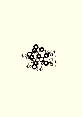 Cc1cc2c(cc1N1c3cc4c(cc3B3c5sc6ccc(C(C)(C)C)cc6c5N(c5ccc(C(C)(C)C)cc5)c5cc(N(c6ccccc6)c6cccc7ccccc67)cc1c53)C(C)(C)CCC4(C)C)C(C)(C)CCC2(C)C